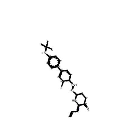 C=C/C=C1\NC(ONC2C=CC(c3ccc(OC(C)(C)C)cc3)=CC2F)CCC1=O